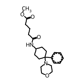 COC(=O)CCCC(=O)NC1CCC(c2ccccc2)(N2CCOCC2)CC1